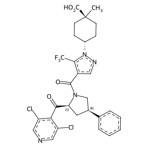 C[C@]1(C(=O)O)CC[C@H](n2ncc(C(=O)N3C[C@@H](c4ccccc4)C[C@H]3C(=O)c3c(Cl)cncc3Cl)c2C(F)(F)F)CC1